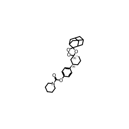 O=C(Oc1ccc([C@@H]2CCC[C@]3(C2)OOC2(O3)C3CC4CC(C3)CC2C4)cc1)N1CCCCC1